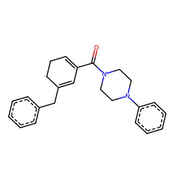 O=C(C1=CC[CH]C(Cc2ccccc2)=C1)N1CCN(c2ccccc2)CC1